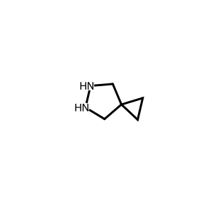 C1CC12CNNC2